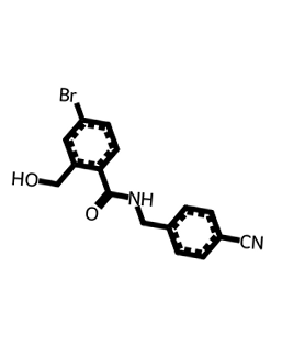 N#Cc1ccc(CNC(=O)c2ccc(Br)cc2CO)cc1